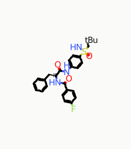 CC(C)(C)CS(=N)(=O)c1ccc(NC(=O)[C@H](Cc2ccccc2)NC(=O)c2ccc(F)cc2)cc1